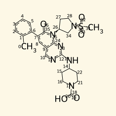 Cc1ccccc1-c1cc2cnc(NC3CCN(C(=O)O)CC3)nc2n([C@H]2CCN(S(C)(=O)=O)C2)c1=O